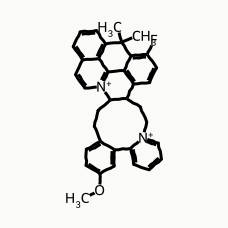 COc1ccc2c(c1)-c1cccc[n+]1CCC1c3ccc(F)c4c3-c3c5c(cccc5cc[n+]3C1CC2)C4(C)C